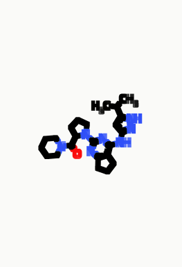 CC(C)c1cc(Nc2nc(N3CCCC3C(=O)N3CCCCC3)nc3c2CCC3)n[nH]1